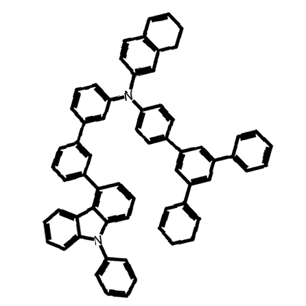 C1=CC(c2cc(-c3ccccc3)cc(-c3ccc(N(c4cccc(-c5cccc(-c6cccc7c6c6ccccc6n7-c6ccccc6)c5)c4)c4ccc5c(c4)CCC=C5)cc3)c2)=CCC1